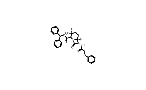 C[C@@]1(F)CS[C@@H]2[C@H](NC(=O)COc3ccccc3)C(=O)N2[C@H]1C(=O)OC(c1ccccc1)c1ccccc1